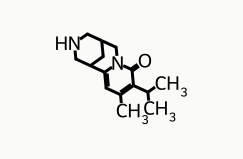 Cc1cc2n(c(=O)c1C(C)C)CC1CNCC2C1